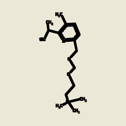 Cc1ccc(COCOCC[Si](C)(C)C)nc1C(C)C(C)(C)C